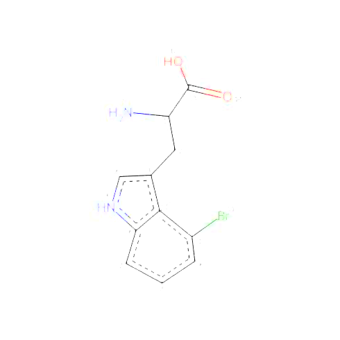 NC(Cc1c[nH]c2cccc(Br)c12)C(=O)O